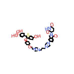 O=C1CCC(N2Cc3cc(N4CCN(CCCN5CCN(CCOc6ccc(Oc7c(-c8ccc(B(O)O)cc8)sc8cc(O)ccc78)cc6)CC5)CC4)ccc3C2=O)C(=O)N1